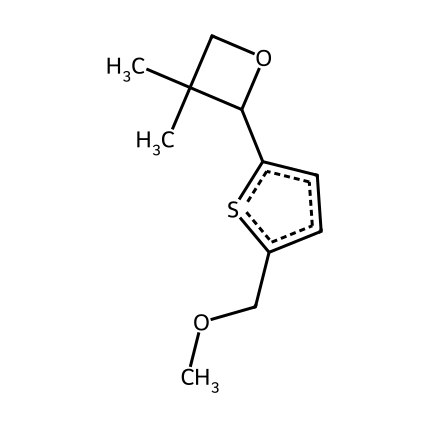 COCc1ccc(C2OCC2(C)C)s1